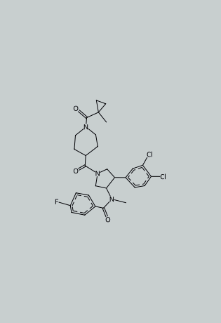 CN(C(=O)c1ccc(F)cc1)C1CN(C(=O)C2CCN(C(=O)C3(C)CC3)CC2)CC1c1ccc(Cl)c(Cl)c1